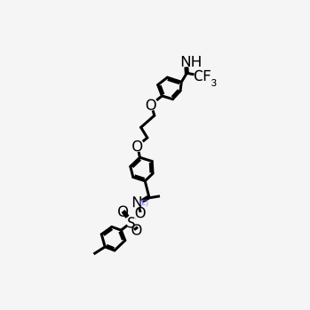 C/C(=N\OS(=O)(=O)c1ccc(C)cc1)c1ccc(OCCCOc2ccc(C(=N)C(F)(F)F)cc2)cc1